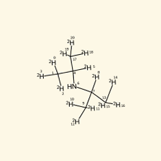 [2H]C([2H])([2H])C([2H])(NC([2H])(C([2H])([2H])[2H])C([2H])([2H])[2H])C([2H])([2H])[2H]